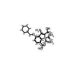 NC(=O)S1(C(N)=O)C(C(=O)O)=C(N)c2c(OCC3CCCCC3)ccc(C(=O)O)c21